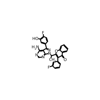 CC(c1oc2ccccc2c(=O)c1-c1cccc(F)c1)n1nc(-c2ccc(F)c(O)c2)c2c(N)ncnc21